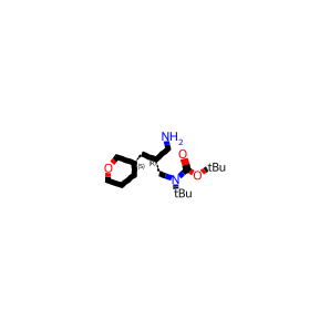 CC(C)(C)OC(=O)N(C[C@@H](CN)C[C@@H]1CCCOC1)C(C)(C)C